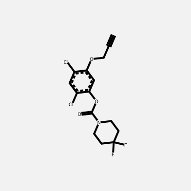 C#CCOc1cc(OC(=O)N2CCC(F)(F)CC2)c(Cl)cc1Cl